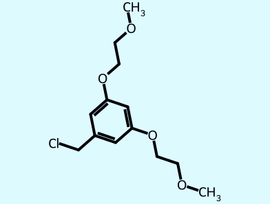 COCCOc1cc(CCl)cc(OCCOC)c1